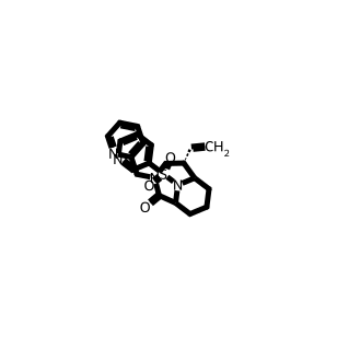 C=C[C@H]1CN(Cc2ccccn2)C(=O)C2CCCC1N2S(=O)(=O)c1cccnc1